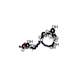 CC[C@H]1C[C@H](C)[C@@]2(NC1=O)O[C@@H](C[C@H](O)[C@@H](C)CCCC/C=C(\C)[C@@H]1C/C=C/C=C/[C@@H](O)C(C)[C@@H](O)CC(=O)N[C@@H](C(C)C)C(=O)N[C@@H](Cc3cccc(O)c3)C(=O)N3CCC[C@H](N3)C(=O)O1)[C@H](C)[C@H](O)[C@@H]2C